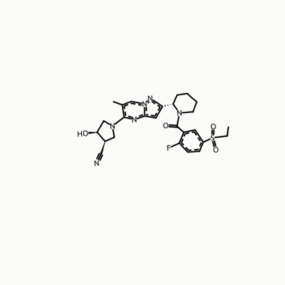 CCS(=O)(=O)c1ccc(F)c(C(=O)N2CCCC[C@H]2c2cc3nc(N4C[C@@H](C#N)[C@@H](O)C4)c(C)cn3n2)c1